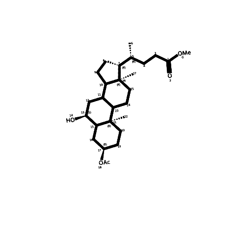 COC(=O)CC[C@@H](C)[C@H]1CCC2C3C[C@H](O)C4C[C@H](OC(C)=O)CC[C@]4(C)C3CC[C@@]21C